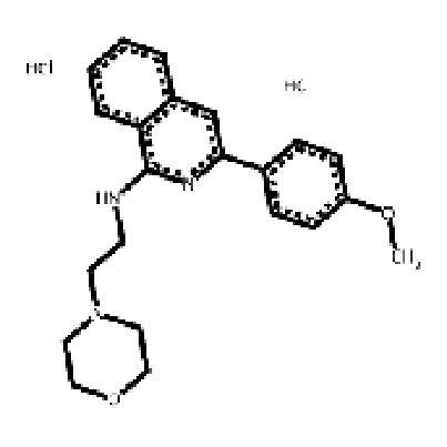 COc1ccc(-c2cc3ccccc3c(NCCN3CCOCC3)n2)cc1.Cl.Cl